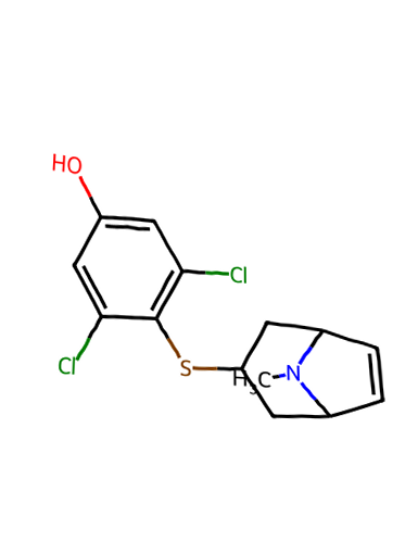 CN1C2C=CC1CC(Sc1c(Cl)cc(O)cc1Cl)C2